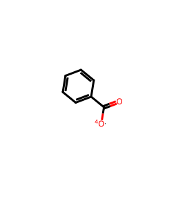 O=C([4O])c1ccccc1